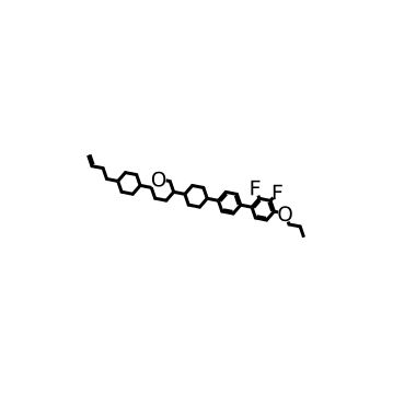 C=CCCC1CCC(C2CCC(C3CCC(c4ccc(-c5ccc(OCCC)c(F)c5F)cc4)CC3)CO2)CC1